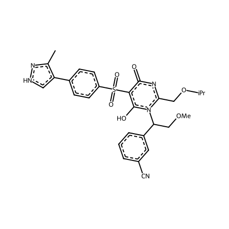 COCC(c1cccc(C#N)c1)n1c(COC(C)C)nc(=O)c(S(=O)(=O)c2ccc(-c3c[nH]nc3C)cc2)c1O